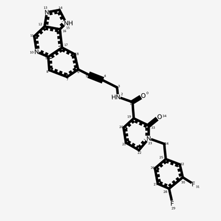 O=C(NCC#Cc1ccc2ncc3nc[nH]c3c2c1)c1cccn(Cc2ccc(F)c(F)c2)c1=O